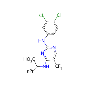 CCCC(Nc1nc(Nc2ccc(Cl)c(Cl)c2)ncc1C(F)(F)F)C(=O)O